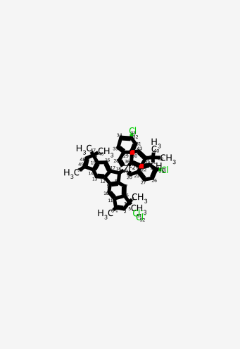 CC1=CC(C)(C)c2cc3c(cc21)-c1cc2c(cc1[CH]3[Zr+2](=[CH]c1ccc(Cl)cc1)(=[CH]c1ccc(Cl)cc1)[C]1=CC(C(C)(C)C)=CC1)C(C)(C)C=C2C.[Cl-].[Cl-]